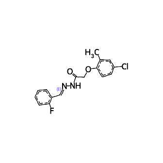 Cc1cc(Cl)ccc1OCC(=O)N/N=C/c1ccccc1F